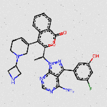 CC(c1oc(=O)c2ccccc2c1C1=CCCN(C2CNC2)C1)n1nc(-c2cc(O)cc(F)c2)c2c(N)ncnc21